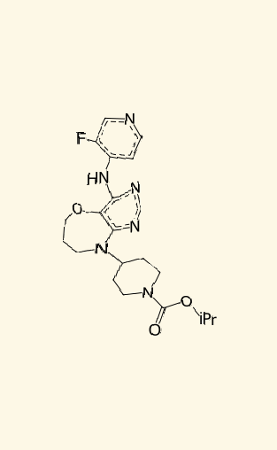 CC(C)OC(=O)N1CCC(N2CCCOc3c(Nc4ccncc4F)ncnc32)CC1